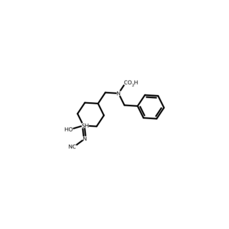 N#CN=[SH]1(O)CCC(CN(Cc2ccccc2)C(=O)O)CC1